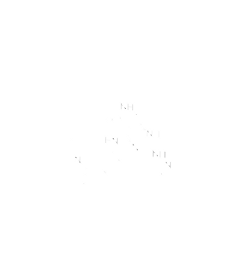 Cc1ccc(C(=O)N2CCCCC2)cc1Nc1nc(NCC2(N)CCCCC2)[nH]c(=O)c1C(N)=O